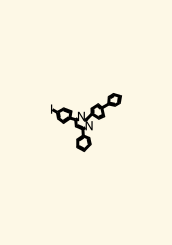 Ic1ccc(-c2cc(-c3ccccc3)nc(-c3ccc(-c4ccccc4)cc3)n2)cc1